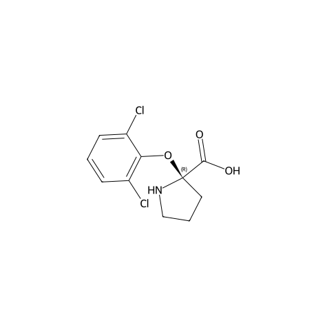 O=C(O)[C@]1(Oc2c(Cl)cccc2Cl)CCCN1